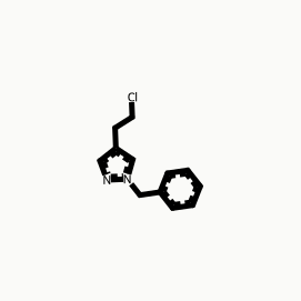 ClCCc1cnn(Cc2ccccc2)c1